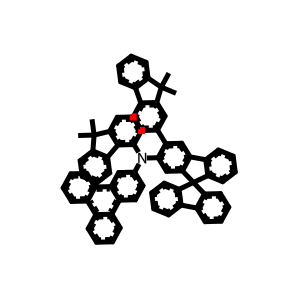 CC1(C)c2ccccc2-c2ccc(-c3cc4c(cc3N(c3ccc5c6ccccc6c6ccccc6c5c3)c3cccc5c3-c3ccccc3C5(C)C)C3(c5ccccc5-c5ccccc53)c3ccccc3-4)cc21